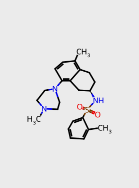 Cc1ccccc1S(=O)(=O)N[C@@H]1CCc2c(C)ccc(N3CCN(C)CC3)c2C1